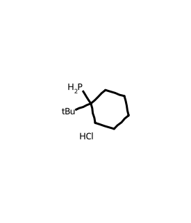 CC(C)(C)C1(P)CCCCC1.Cl